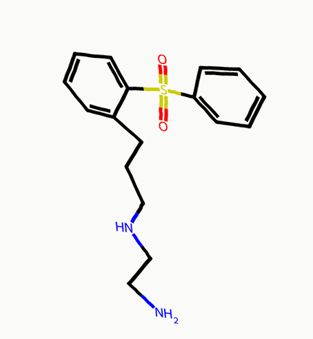 NCCNCCCc1ccccc1S(=O)(=O)c1ccccc1